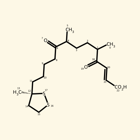 CC(CCC(C)C(=O)CCCC[C@]1(C)CCSS1)C(=O)/C=C/C(=O)O